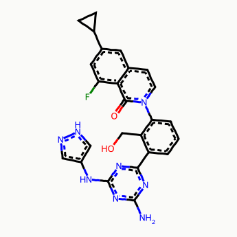 Nc1nc(Nc2cn[nH]c2)nc(-c2cccc(-n3ccc4cc(C5CC5)cc(F)c4c3=O)c2CO)n1